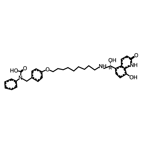 O=C(O)N(Cc1ccc(OCCCCCCCCCNC[C@H](O)c2ccc(O)c3[nH]c(=O)ccc23)cc1)c1ccccc1